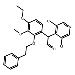 CCOc1ccc(C(C=O)c2c(Cl)cncc2Cl)c(OCCc2ccccc2)c1OC